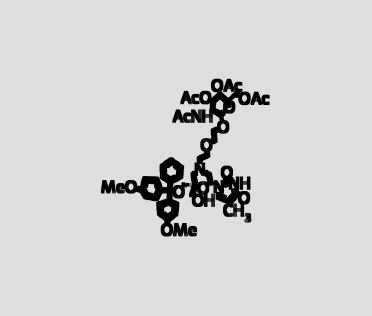 COc1ccc(C(OC[C@]2(CO)CN(CCOCCO[C@@H]3O[C@H](COC(C)=O)[C@H](OC(C)=O)[C@H](OC(C)=O)[C@H]3NC(C)=O)C[C@H](n3cc(C)c(=O)[nH]c3=O)O2)(c2ccccc2)c2ccc(OC)cc2)cc1